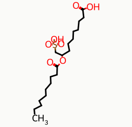 CCCCCCCCCC(=O)OC(CCCCCCCC(=O)O)CS(=O)(=O)O